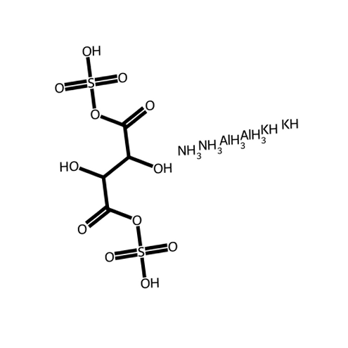 N.N.O=C(OS(=O)(=O)O)C(O)C(O)C(=O)OS(=O)(=O)O.[AlH3].[AlH3].[KH].[KH]